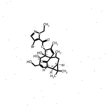 CCn1ncc(Br)c1C(=O)O[C@H]1C(C)=CC23C(=O)[C@@H](C=C(CO)[C@@H](O)[C@]12O)[C@H]1[C@@H](CC3C)C1(C)C